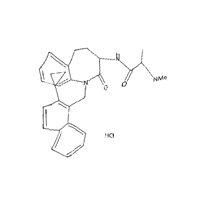 CNC(C)C(=O)NC1CCc2ccccc2N(Cc2c(C3CC3)ccc3ccccc23)C1=O.Cl